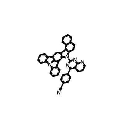 N#Cc1ccc(-c2nc(-n3c4ccc5ccccc5c4c4cc5c6ccccc6n6c7ccccc7c(c43)c56)nc3ncccc23)cc1